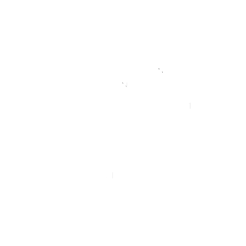 Clc1cccc(Cn2cnc(Cl)c2)c1